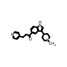 CN1CCC(c2c[nH]c3ccc(C(=O)CCc4ccncc4)cc23)CC1